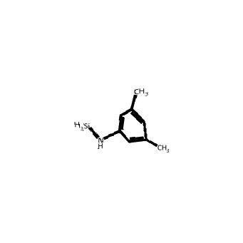 Cc1cc(C)cc(N[SiH3])c1